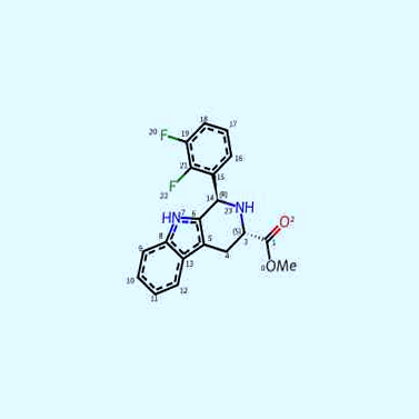 COC(=O)[C@@H]1Cc2c([nH]c3ccccc23)[C@@H](c2cccc(F)c2F)N1